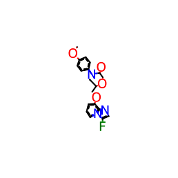 COc1ccc(N2CC(COc3cccn4c(F)cnc34)OCC2=O)cc1